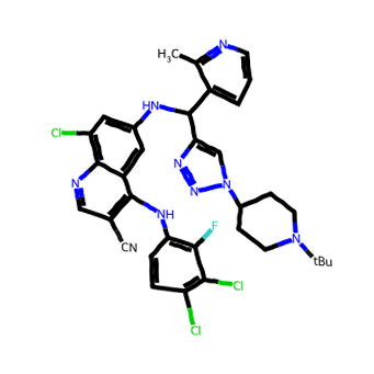 Cc1ncccc1C(Nc1cc(Cl)c2ncc(C#N)c(Nc3ccc(Cl)c(Cl)c3F)c2c1)c1cn(C2CCN(C(C)(C)C)CC2)nn1